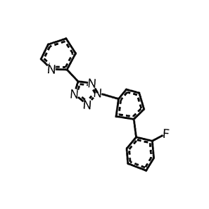 Fc1ccccc1-c1cccc(-n2nnc(-c3ccccn3)n2)c1